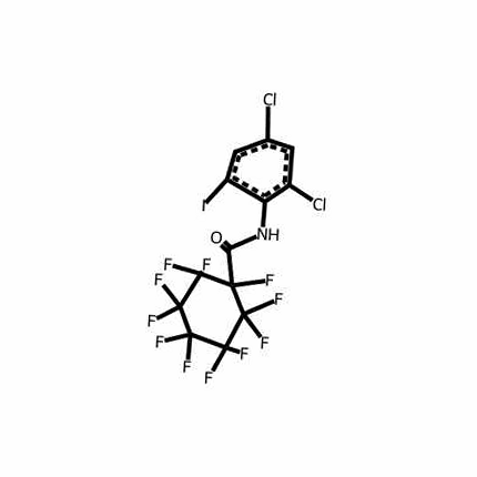 O=C(Nc1c(Cl)cc(Cl)cc1I)C1(F)C(F)(F)C(F)(F)C(F)(F)C(F)(F)C1(F)F